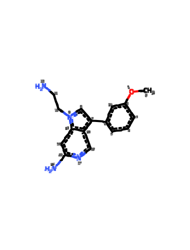 COc1cccc(-c2cn(CCN)c3cc(N)ncc23)c1